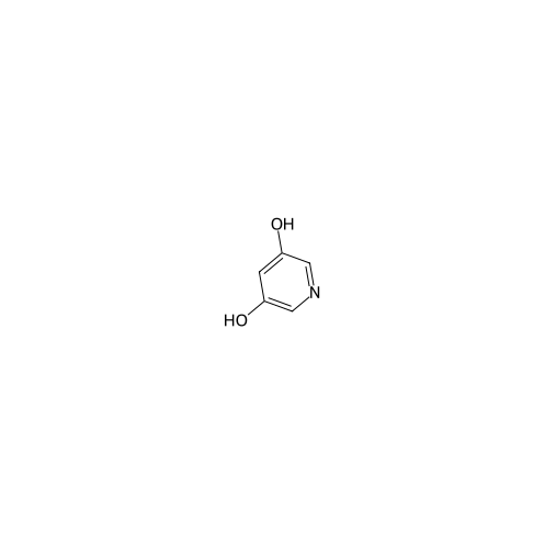 Oc1cncc(O)c1